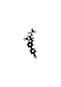 CC(=O)NC[C@@H]1OC(=O)N2c3ccc(-c4ccc(C#N)cn4)cc3C[C@@H]12